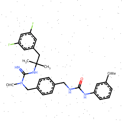 COc1cccc(NC(=O)NCc2ccc(CN(C=O)C(=N)NC(C)(C)Cc3cc(F)cc(F)c3)cc2)c1